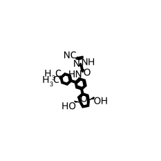 CC1(C)CC=C(c2cc(C3C[C@]4(CO)CC[C@](CO)(C3)O4)ccc2NC(=O)c2nc(C#N)c[nH]2)CC1